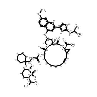 COc1ccc2c(O[C@@H]3C[C@H]4C(=O)N[C@]5(C(=O)O)CC5/C=C\CCCCC[C@H](NC(=O)N[C@H](CN5CCCN(C(C)C)S5(=O)=O)C5(C)CCCCC5)C(=O)N4C3)cc(-c3csc(NC(C)C)n3)nc2c1